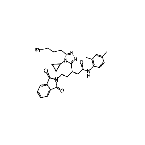 Cc1ccc(NC(=O)CC(CCN2C(=O)c3ccccc3C2=O)c2nnc(CCCC(C)C)n2C2CC2)c(C)c1